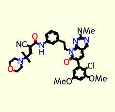 CNc1ncc2cc(-c3cc(OC)cc(OC)c3Cl)c(=O)n(CCc3cccc(NC(=O)C(C#N)=CC(C)(C)N4CCOCC4)c3)c2n1